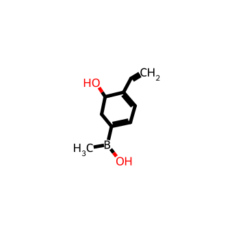 C=CC1=CC=C(B(C)O)CC1O